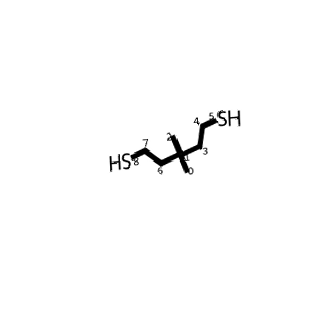 CC(C)(CCS)CCS